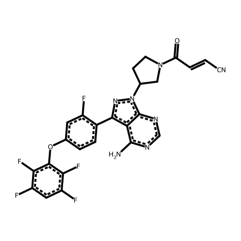 N#CC=CC(=O)N1CCC(n2nc(-c3ccc(Oc4c(F)c(F)cc(F)c4F)cc3F)c3c(N)ncnc32)C1